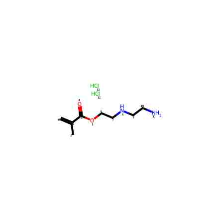 C=C(C)C(=O)OCCNCCN.Cl.Cl